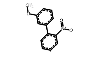 COc1cccc(-c2cc[c]cc2[N+](=O)[O-])c1